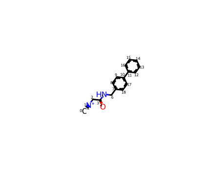 [C-]#[N+]CC(=O)NCc1ccc(-c2ccccc2)cc1